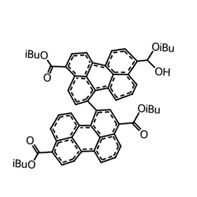 CC(C)COC(=O)c1ccc2c3cccc4c(C(=O)OCC(C)C)cc(-c5ccc6c(C(=O)OCC(C)C)ccc7c8ccc(C(O)OCC(C)C)c9cccc(c5c67)c98)c(c5cccc1c25)c43